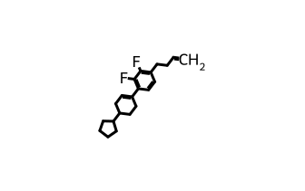 C=CCCc1ccc(C2=CCC(C3CCCC3)CC2)c(F)c1F